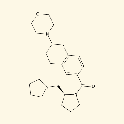 O=C(c1ccc2c(c1)CCC(N1CCOCC1)C2)N1CCC[C@H]1CN1CCCC1